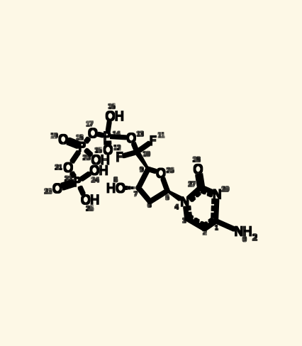 Nc1ccn([C@H]2C[C@H](O)[C@@H](C(F)(F)OP(=O)(O)OP(=O)(O)OP(=O)(O)O)O2)c(=O)n1